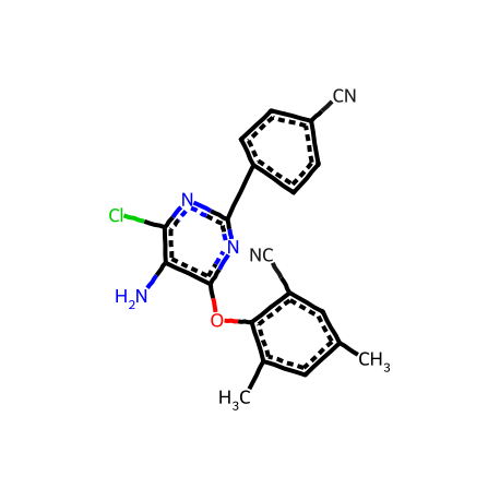 Cc1cc(C)c(Oc2nc(-c3ccc(C#N)cc3)nc(Cl)c2N)c(C#N)c1